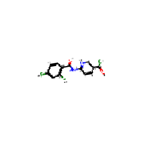 O=C(Cl)c1ccc(NC(=O)c2ccc(F)cc2F)nc1